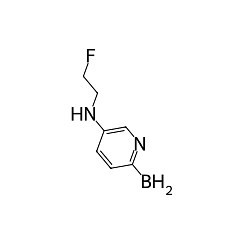 Bc1ccc(NCCF)cn1